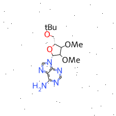 COC1C(OC)[C@@H](COC(C)(C)C)O[C@H]1n1cnc2c(N)ncnc21